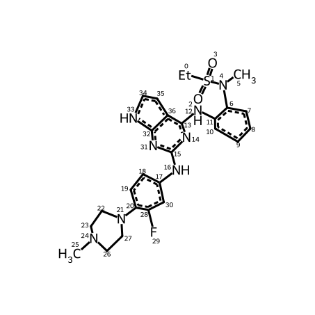 CCS(=O)(=O)N(C)c1ccccc1Nc1nc(Nc2ccc(N3CCN(C)CC3)c(F)c2)nc2[nH]ccc12